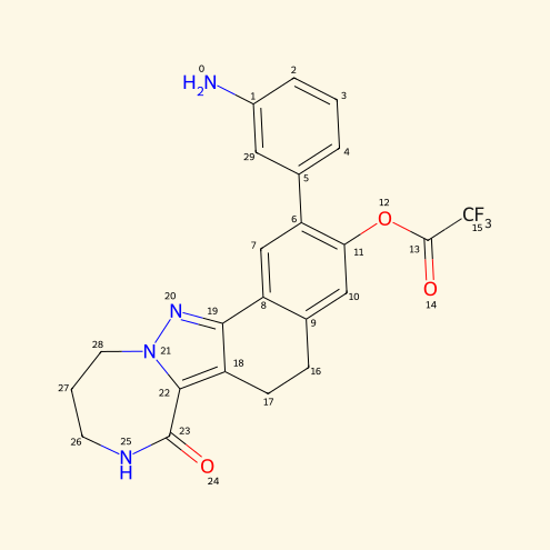 Nc1cccc(-c2cc3c(cc2OC(=O)C(F)(F)F)CCc2c-3nn3c2C(=O)NCCC3)c1